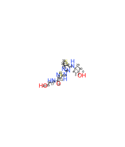 C[C@]1(O)CC[C@H](Nc2nc(Nc3cc(C(=O)NCCCO)ns3)nc3ccsc23)CC1